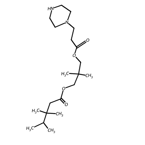 CC(C)C(C)(C)CC(=O)OCC(C)(C)COC(=O)CCN1CCNCC1